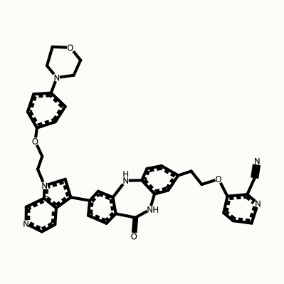 N#Cc1ncccc1OCCc1ccc2c(c1)NC(=O)c1ccc(-c3cn(CCOc4ccc(N5CCOCC5)cc4)c4cnccc34)cc1N2